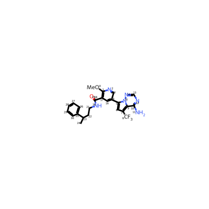 COc1ncc(-c2cc(C(F)(F)F)c3c(N)ncnn23)cc1C(=O)NCCC(C)c1ccccc1